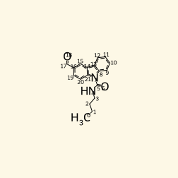 CCCCNC(=O)n1c2ccccc2c2cc(C=O)ccc21